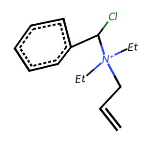 C=CC[N+](CC)(CC)C(Cl)c1ccccc1